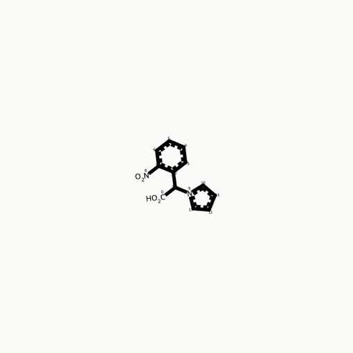 O=C(O)C(c1ccccc1[N+](=O)[O-])n1cccc1